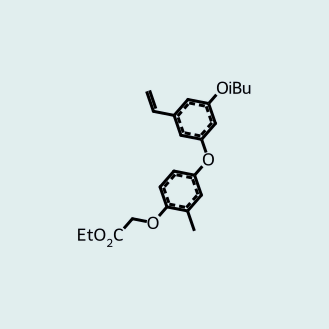 C=Cc1cc(OCC(C)C)cc(Oc2ccc(OCC(=O)OCC)c(C)c2)c1